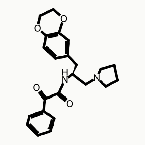 O=C(N[C@@H](Cc1ccc2c(c1)OCCO2)CN1CCCC1)C(=O)c1ccccc1